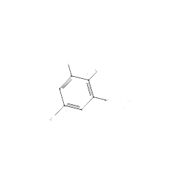 O=C(O)c1cc(Br)cc(Cl)c1Cl